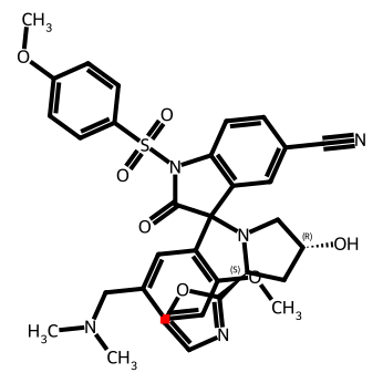 COc1ccc(S(=O)(=O)N2C(=O)C(c3cc(CN(C)C)ccc3OC)(N3C[C@H](O)C[C@H]3c3ncco3)c3cc(C#N)ccc32)cc1